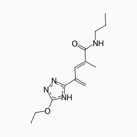 C=C(/C=C(\C)C(=O)NCCC)c1nnc(OCC)[nH]1